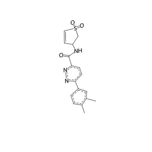 Cc1ccc(-c2ccc(C(=O)NC3C=CS(=O)(=O)C3)nn2)cc1C